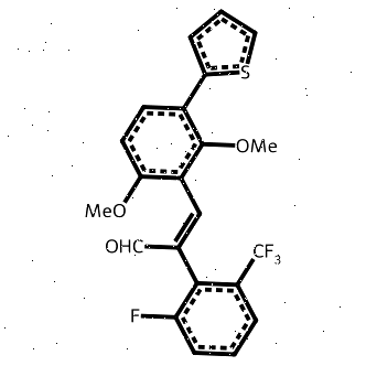 COc1ccc(-c2cccs2)c(OC)c1C=C(C=O)c1c(F)cccc1C(F)(F)F